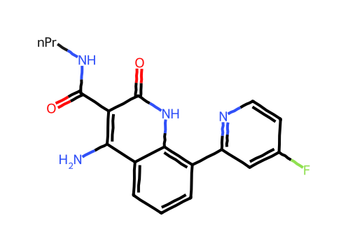 CCCNC(=O)c1c(N)c2cccc(-c3cc(F)ccn3)c2[nH]c1=O